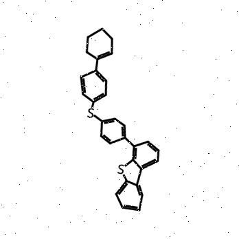 C1=C(c2ccc(Sc3ccc(-c4cccc5c4sc4ccccc45)cc3)cc2)CCCC1